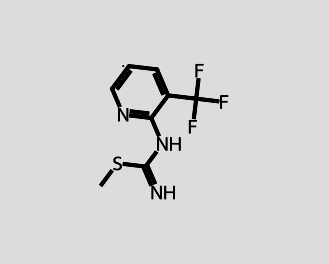 CSC(=N)Nc1nc[c]cc1C(F)(F)F